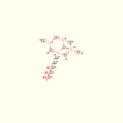 O.O.O.[Li+].[Li+].[O-]B1OB2OB([O-])OB(O1)O2